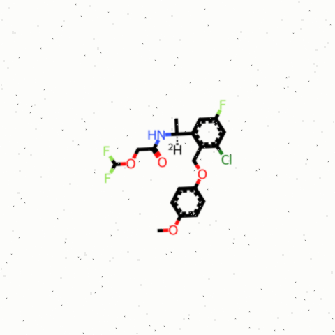 [2H][C@@](C)(NC(=O)COC(F)F)c1cc(F)cc(Cl)c1COc1ccc(OC)cc1